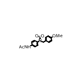 COc1ccc(CN(c2ccc(NC(C)=O)cc2)[SH](=O)=O)cc1